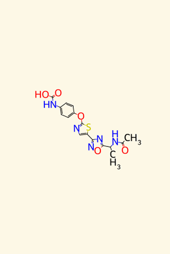 CC(=O)NC(C)c1nc(-c2cnc(Oc3ccc(NC(=O)O)cc3)s2)no1